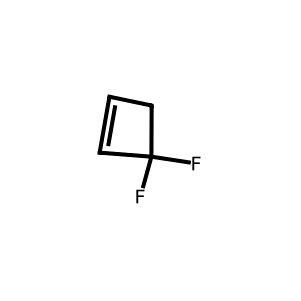 FC1(F)C=CC1